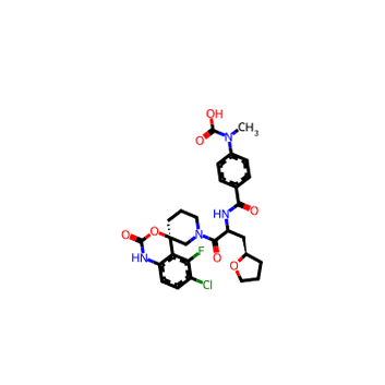 CN(C(=O)O)c1ccc(C(=O)NC(C[C@H]2CCCO2)C(=O)N2CCC[C@@]3(C2)OC(=O)Nc2ccc(Cl)c(F)c23)cc1